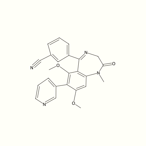 COc1cc2c(c(OC)c1-c1cccnc1)C(c1cccc(C#N)c1)=NCC(=O)N2C